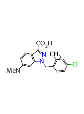 CNc1ccc2c(C(=O)O)nn(Cc3ccc(Cl)cc3C)c2c1